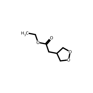 CCOC(=O)CC1COOC1